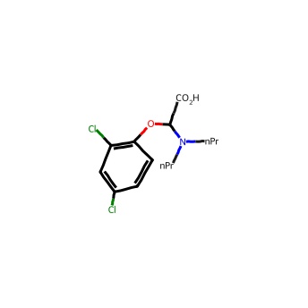 CCCN(CCC)C(Oc1ccc(Cl)cc1Cl)C(=O)O